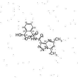 Cc1cc(C)n2nnc(C(=O)NS(=O)(=O)c3ccccc3C(=O)O)c2n1